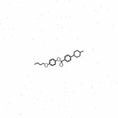 CCCCOc1ccc(OC(=O)c2ccc(C3CCC(C)CC3)cc2)cc1